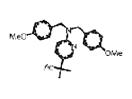 COc1ccc(CN(Cc2ccc(OC)cc2)c2ccc(C(C)(C)C(C)=O)cn2)cc1